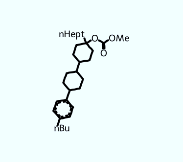 CCCCCCCC1(OC(=O)OC)CCC(C2CCC(c3ccc(CCCC)cc3)CC2)CC1